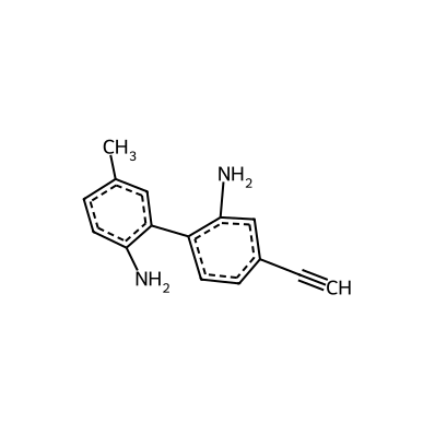 C#Cc1ccc(-c2cc(C)ccc2N)c(N)c1